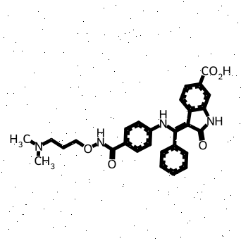 CN(C)CCCONC(=O)c1ccc(NC(=C2C(=O)Nc3cc(C(=O)O)ccc32)c2ccccc2)cc1